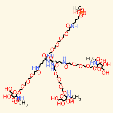 COP(=O)(O)OCCCCCNC(=O)CCOCCOCCOCCOCCNC(=O)[C@H](CCCCNC(=O)CCOCCOCCOCCOC1OC(CO)C(O)C(O)C1NC(C)=O)NC(=O)[C@H](CCCCNC(=O)CCOCCOCCOCCOC1OC(CO)C(O)C(O)C1NC(C)=O)NC(=O)CCOCCOCCOCCOC1OC(CO)C(O)C(O)C1NC(C)=O